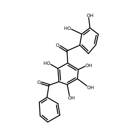 O=C(c1ccccc1)c1c(O)c(O)c(O)c(C(=O)c2cccc(O)c2O)c1O